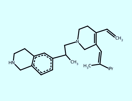 C=CC1=C(/C=C(\C)C(C)C)CN(CC(C)c2ccc3c(c2)CCNC3)CC1